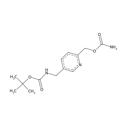 CC(C)(C)OC(=O)NCc1ccc(COC(N)=O)nc1